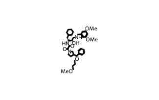 COCCCCO[C@@H](c1ccccc1)C1CCN(C(=O)C(=O)N[C@@H](CC2CCCCC2)[C@H](O)CNCc2cc(OC)cc(OC)c2)C1